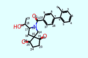 Cc1ccccc1-c1ccc(C(=O)N2CC3(CC2C(C)O)C(=O)CCC3=O)cc1